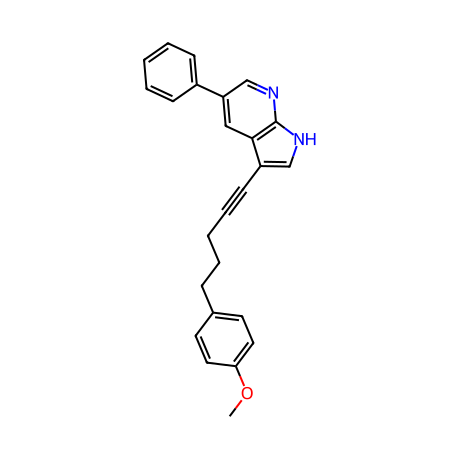 COc1ccc(CCCC#Cc2c[nH]c3ncc(-c4ccccc4)cc23)cc1